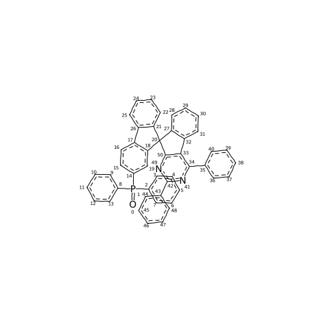 O=P(c1ccccc1)(c1ccccc1)c1ccc2c(c1)C1(c3ccccc3-2)c2ccccc2-c2c(-c3ccccc3)nc(-c3ccccc3)nc21